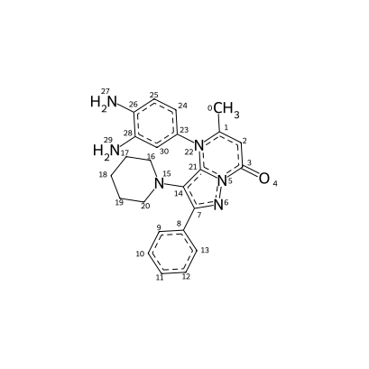 Cc1cc(=O)n2nc(-c3ccccc3)c(N3CCCCC3)c2n1-c1ccc(N)c(N)c1